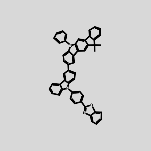 CC1(C)c2ccccc2-c2cc3c(cc21)c1cc(-c2ccc4c(c2)c2ccccc2n4-c2ccc(-c4nc5ccccc5o4)cc2)ccc1n3-c1ccccc1